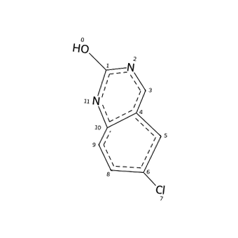 Oc1ncc2cc(Cl)ccc2n1